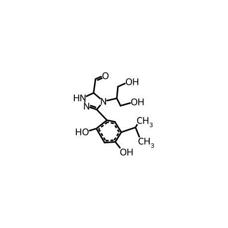 CC(C)c1cc(C2=NNC(C=O)N2C(CO)CO)c(O)cc1O